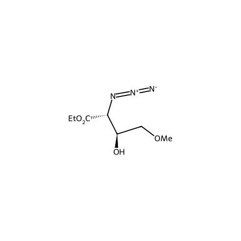 CCOC(=O)[C@H](N=[N+]=[N-])[C@H](O)COC